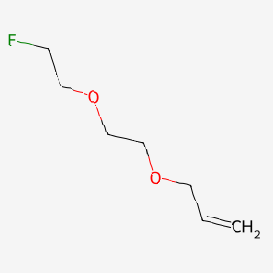 C=CCOCCOCCF